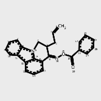 C=CCC1Cn2c3ccccc3c3cccc(c32)/C1=N/OC(=O)c1ccccc1